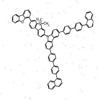 C[Si]1(C)c2cc(-c3cccc4c3oc3ccccc34)ccc2-c2ccc(-n3c4ccc(-c5ccc(-c6ccc(-c7cccc8ccccc78)cc6)cc5)cc4c4cc(-c5ccc(-c6ccc(-c7cccc8ccccc78)cc6)cc5)ccc43)cc21